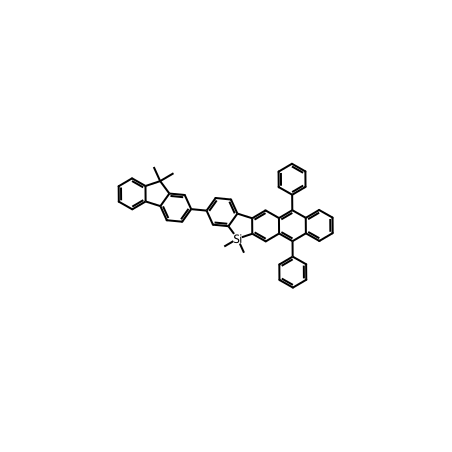 CC1(C)c2ccccc2-c2ccc(-c3ccc4c(c3)[Si](C)(C)c3cc5c(-c6ccccc6)c6ccccc6c(-c6ccccc6)c5cc3-4)cc21